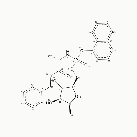 C[C@H](NP(=O)(OC[C@H]1O[C@@H](C)[C@@H](O)C1O)Oc1cccc2ccccc12)C(=O)OCc1ccccc1